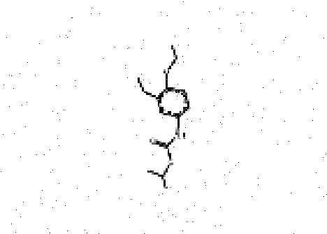 CCOc1ccc(NC(=O)OC(C)C)cc1CC